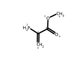 C=C(P)C(=O)OC